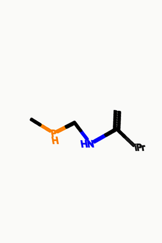 C=C(NCPC)C(C)C